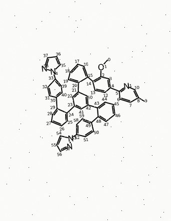 COc1cc(-c2ccc(C)cn2)ccc1-c1ccccc1-c1cc(-c2ccccc2-c2ccc(-n3cccn3)cc2)cc(-c2ccccc2-c2ccc(-n3cccn3)cc2)c1